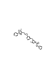 Cc1oc(-c2ccccc2)nc1CCOc1cccc(C[C@H]2CN(C(=O)Oc3ccccc3)C[C@H]2C)c1